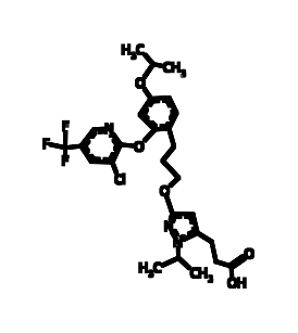 CC(C)Oc1ccc(CCCOc2cc(CCC(=O)O)n(C(C)C)n2)c(Oc2ncc(C(F)(F)F)cc2Cl)c1